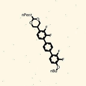 CCCCCC1OCC(c2ccc(-c3ccc(-c4ccc(OCCCC)c(F)c4F)cc3)c(F)c2F)CO1